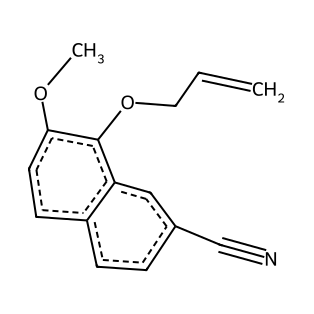 C=CCOc1c(OC)ccc2ccc(C#N)cc12